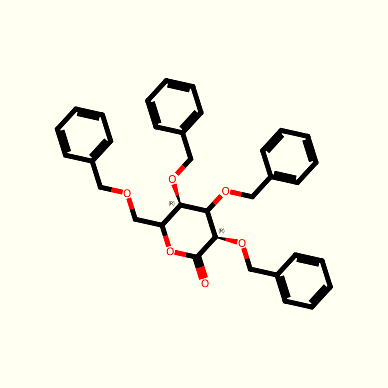 O=C1OC(COCc2ccccc2)[C@@H](OCc2ccccc2)C(OCc2ccccc2)[C@H]1OCc1ccccc1